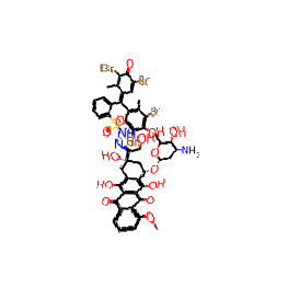 COc1cccc2c1C(=O)c1c(O)c3c(c(O)c1C2=O)C[C@@](O)(/C(CO)=N/NS(=O)(=O)c1ccccc1/C(=C1/C=C(Br)C(=O)C(Br)=C1C)c1cc(Br)c(O)c(Br)c1C)C[C@@H]3O[C@H]1CC(N)[C@H](O)C(C)O1